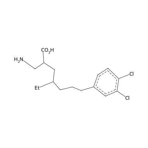 CCC(CCCc1ccc(Cl)c(Cl)c1)CC(CN)C(=O)O